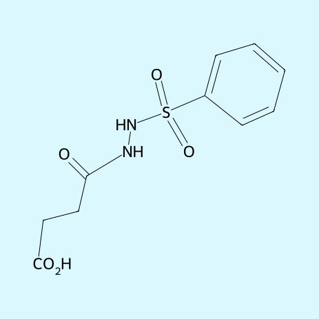 O=C(O)CCC(=O)NNS(=O)(=O)c1ccccc1